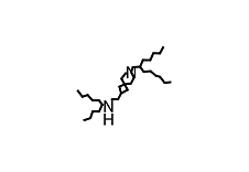 CCCCCCC(CCCCC)CN1CCC2(CC1)CC(CCNC(CCCC)CCCCC)C2